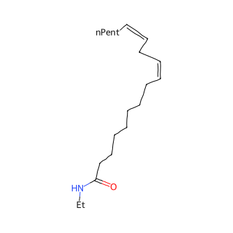 CCCCC/C=C\C/C=C\CCCCCCCC(=O)NCC